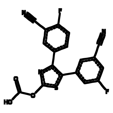 N#Cc1cc(F)cc(-c2sc(OC(=O)O)nc2-c2ccc(F)c(C#N)c2)c1